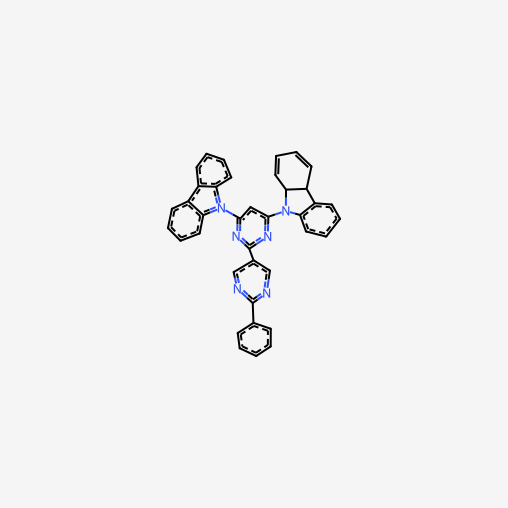 C1=CC2c3ccccc3N(c3cc(-n4c5ccccc5c5ccccc54)nc(-c4cnc(-c5ccccc5)nc4)n3)C2C=C1